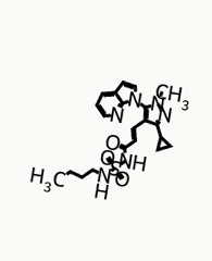 CCCCNS(=O)(=O)NC(=O)C=Cc1c(C2CC2)nn(C)c1-n1ccc2cccnc21